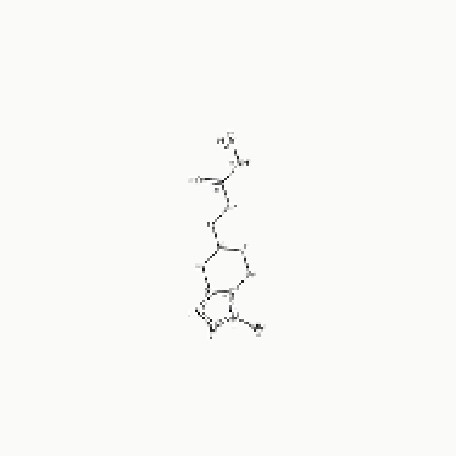 CC(C)n1nnc2c1CCC(CCC(=O)NN)C2